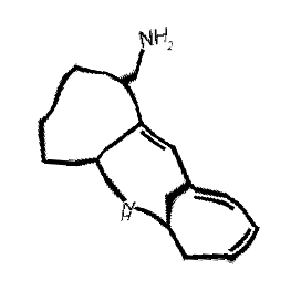 NC1CCCC2NC3CC=CC=C3C=C12